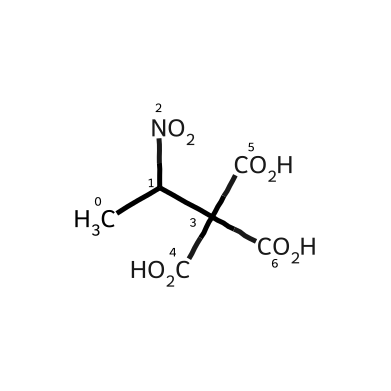 CC([N+](=O)[O-])C(C(=O)O)(C(=O)O)C(=O)O